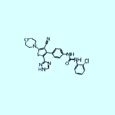 N#Cc1c(N2CCOCC2)sc(-c2nc[nH]n2)c1-c1ccc(NC(=O)Nc2ccccc2Cl)cc1